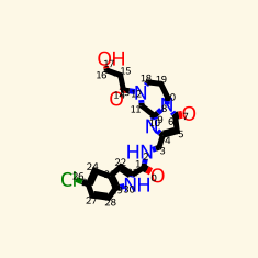 O=C(NCc1cc(=O)n2c(n1)CN(C(=O)[CH]CO)CCC2)c1cc2cc(Cl)ccc2[nH]1